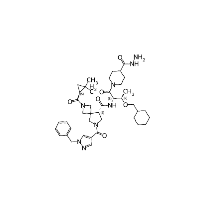 C[C@@H](OCC1CCCCC1)[C@H](NC(=O)[C@@H]1CN(C(=O)c2cnn(Cc3ccccc3)c2)CC12CN(C(=O)[C@H]1CC1(C)C)C2)C(=O)N1CCC(C(=O)NN)CC1